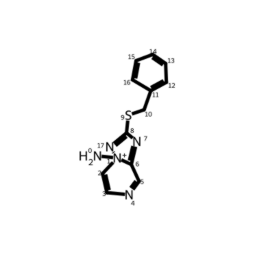 N[N+]12C=CN=CC1=NC(SCc1ccccc1)=N2